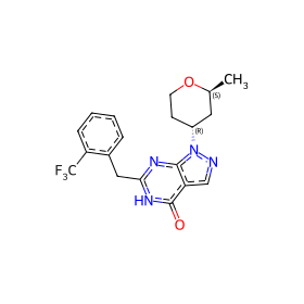 C[C@H]1C[C@H](n2ncc3c(=O)[nH]c(Cc4ccccc4C(F)(F)F)nc32)CCO1